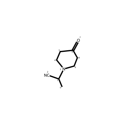 CC(C#N)N1CCC(=O)CC1